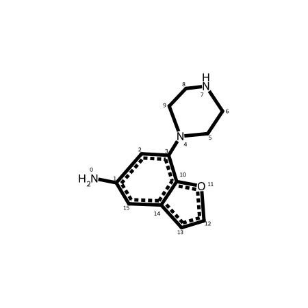 Nc1cc(N2CCNCC2)c2occc2c1